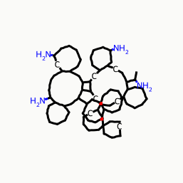 CC(N)C1CCC2CC(N)CCCCC2CC2C3CC4CCCCCC(N)CC4CCCC(N)C4CCCCCCC4CC(C4CCCCC5CCCCCCC5C4)C3C2CC(C2CCCCCC3(CCCCCC3)C2)CCC2CCCCCCC21